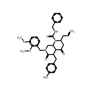 C=CCC1CC(=O)C2C(Cc3ccc(O)cc3)C(=O)N(Cc3cccc(OC)c3OC)CC2N1C(=O)NCc1ccccc1